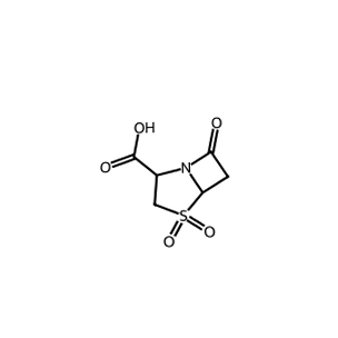 O=C(O)C1CS(=O)(=O)C2CC(=O)N12